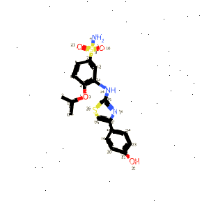 CC(C)Oc1ccc(S(N)(=O)=O)cc1Nc1nc(-c2ccc(O)cc2)cs1